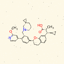 COc1cc(-c2ccc([C@@H]3CCc4ccc([C@H](C5CC5)[C@H](C)C(=O)O)cc4O3)cc2CN2CCCC3(CC3)C2)ccn1